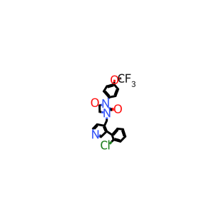 O=C1CN(Cc2ccncc2-c2ccccc2Cl)C(=O)N1c1ccc(OC(F)(F)F)cc1